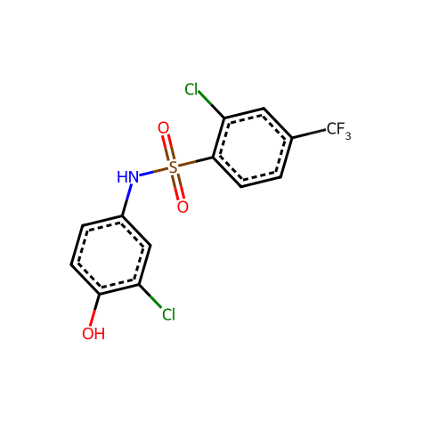 O=S(=O)(Nc1ccc(O)c(Cl)c1)c1ccc(C(F)(F)F)cc1Cl